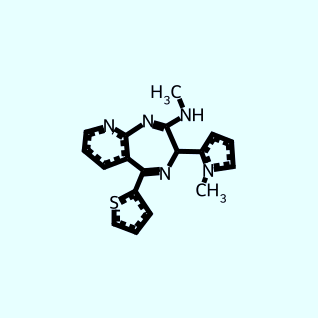 CNC1=Nc2ncccc2C(c2cccs2)=NC1c1cccn1C